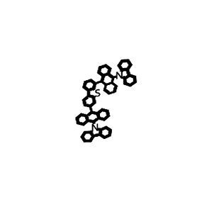 C1=CC2C(c3cccc4c3sc3cc(-c5c6ccccc6c(-n6c7ccccc7c7ccccc76)c6ccccc56)ccc34)=c3ccccc3=C(n3c4ccccc4c4ccccc43)C2C=C1